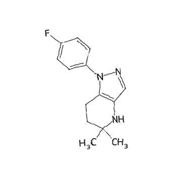 CC1(C)CCc2c(cnn2-c2ccc(F)cc2)N1